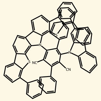 N#Cc1c(-c2ccccc2)c(C#N)c(-n2c3c(ccc4c5cccc(-c6ccccc6)c5sc43)c3ccc4c5cccc(-c6ccccc6)c5sc4c32)c(-c2ccccc2)c1-n1c2ccccc2c2ccc(-c3ccccc3)cc21